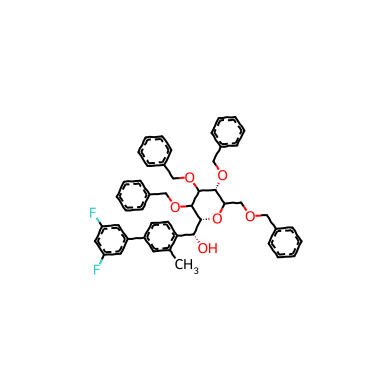 Cc1cc(-c2cc(F)cc(F)c2)ccc1[C@@H](O)[C@H]1OC(COCc2ccccc2)[C@@H](OCc2ccccc2)C(OCc2ccccc2)C1OCc1ccccc1